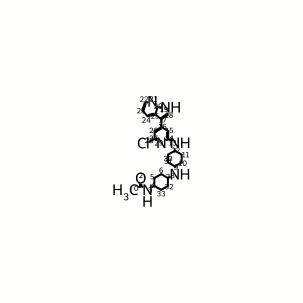 CC(=O)NC1CCC(N[C@H]2CC[C@H](Nc3cc(-c4c[nH]c5ncccc45)cc(Cl)n3)CC2)CC1